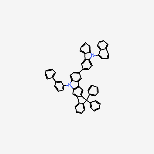 c1ccc(-c2cccc(-n3c4ccc(-c5ccc6c(c5)c5ccccc5n6-c5cccc6ccccc56)cc4c4cc5c(cc43)-c3ccccc3C5(c3ccccc3)c3ccccc3)c2)cc1